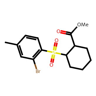 COC(=O)C1CCCCC1S(=O)(=O)c1ccc(C)cc1Br